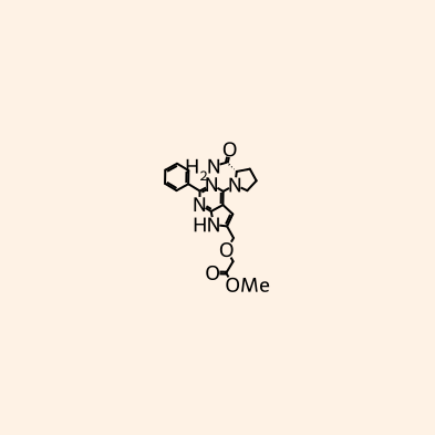 COC(=O)COCc1cc2c(N3CCC[C@H]3C(N)=O)nc(-c3ccccc3)nc2[nH]1